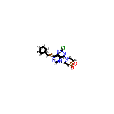 O=S1(=O)CCN(c2nc(Cl)nc3c(SCc4ccccc4)ncnc23)CC1